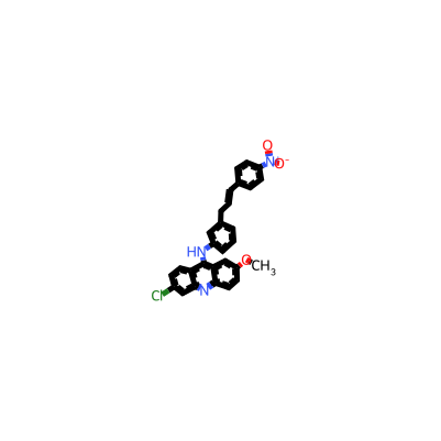 COc1ccc2nc3cc(Cl)ccc3c(Nc3cccc(CC=Cc4ccc([N+](=O)[O-])cc4)c3)c2c1